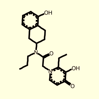 CCCN(C(=O)Cn1ccc(=O)c(O)c1CC)C1CCc2c(O)cccc2C1